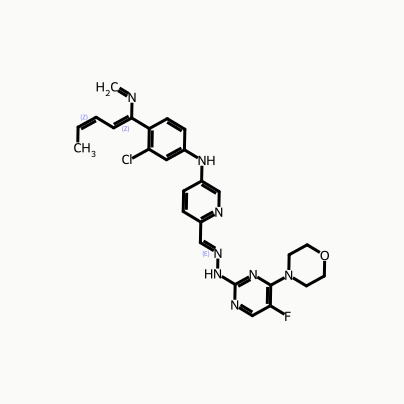 C=N/C(=C\C=C/C)c1ccc(Nc2ccc(/C=N/Nc3ncc(F)c(N4CCOCC4)n3)nc2)cc1Cl